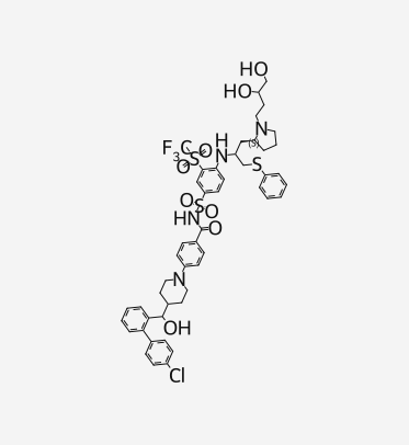 O=C(NS(=O)(=O)c1ccc(NC(CSc2ccccc2)C[C@@H]2CCCN2CCC(O)CO)c(S(=O)(=O)C(F)(F)F)c1)c1ccc(N2CCC(C(O)c3ccccc3-c3ccc(Cl)cc3)CC2)cc1